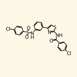 O=C(Nc1nc(-c2cccc(NS(=O)(=O)c3ccc(Cl)cc3)c2)cs1)c1ccc(Cl)cc1